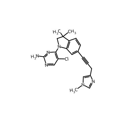 Cn1cnc(CC#Cc2ccc3c(c2)N(c2nc(N)ncc2Cl)CC3(C)C)c1